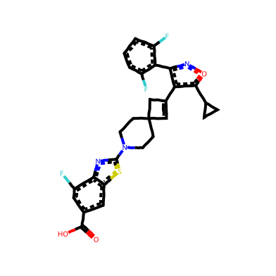 O=C(O)c1cc(F)c2nc(N3CCC4(C=C(c5c(-c6c(F)cccc6F)noc5C5CC5)C4)CC3)sc2c1